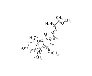 COC1=CC(=O)C[C@@H](C)[C@]12Oc1c(Cl)c(C(=O)O/N=C(\N)C(C)OC)cc(OC)c1C2=O